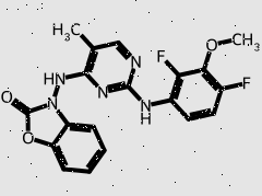 COc1c(F)ccc(Nc2ncc(C)c(Nn3c(=O)oc4ccccc43)n2)c1F